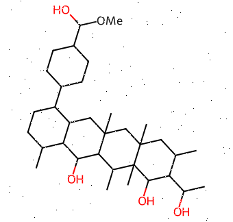 COC(O)C1CCC(C2CCC(C)C3C(O)C4C(C)C5(C)C(O)C(C(C)O)C(C)CC5(C)CC4(C)CC23)CC1